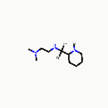 CCN1CCCCC1C(CC)(CC)NCCN(C)C